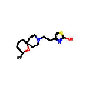 CC(C)C1CCCC2(CCN(CCc3csc(O)n3)CC2)O1